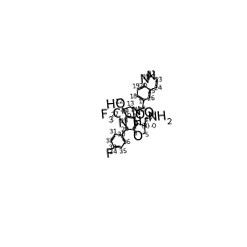 C[C@]1(C(N)=O)COc2c1cc([C@@](O)(CNC(=O)c1ccc3nnccc3c1)C(F)(F)F)nc2-c1ccc(F)cc1